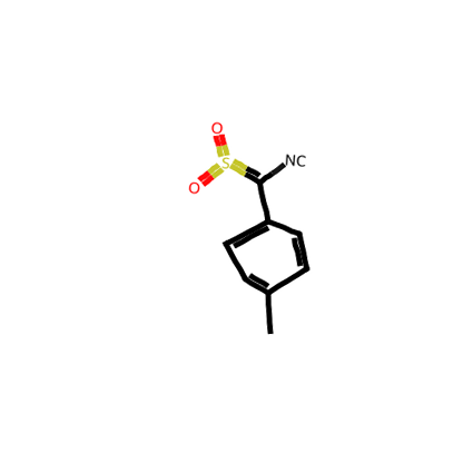 [C-]#[N+]C(c1ccc(C)cc1)=S(=O)=O